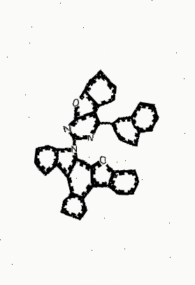 c1ccc2cc(-c3nc(-n4c5ccccc5c5c6ccccc6c6c7ccccc7oc6c54)nc4oc5ccccc5c34)ccc2c1